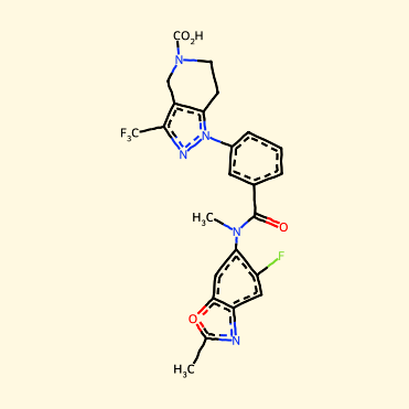 Cc1nc2cc(F)c(N(C)C(=O)c3cccc(-n4nc(C(F)(F)F)c5c4CCN(C(=O)O)C5)c3)cc2o1